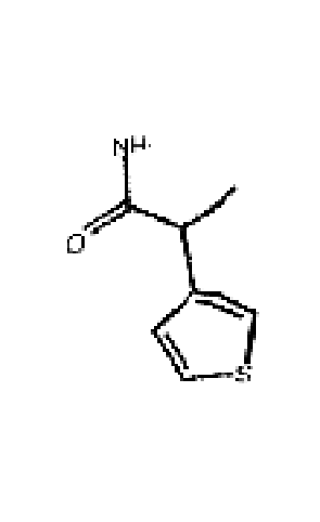 CC(C([NH])=O)c1ccsc1